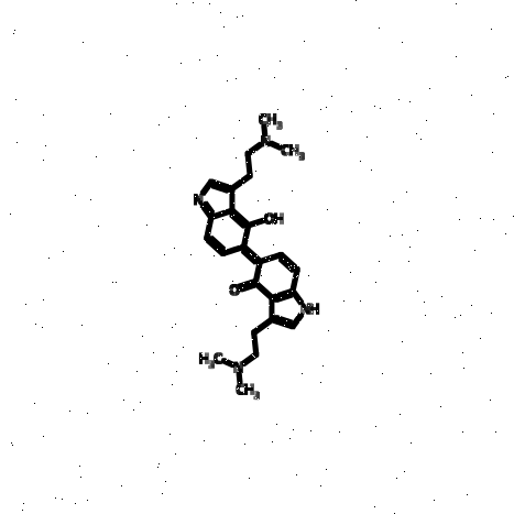 CN(C)CCC1=CN=c2ccc(=C3C=Cc4[nH]cc(CCN(C)C)c4C3=O)c(O)c21